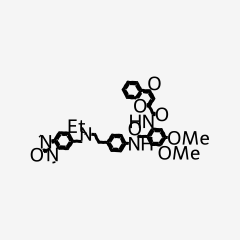 CCN(CCc1ccc(NC(=O)c2cc(OC)c(OC)cc2NC(=O)c2cc(=O)c3ccccc3o2)cc1)Cc1ccc2c(c1)n(C)c(=O)n2C